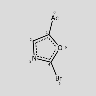 CC(=O)c1cnc(Br)o1